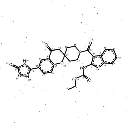 CCNC(=O)Nc1sc2ccccc2c1C(=O)N1CCC2(CC1)CC(=O)c1cc(-c3noc(=O)[nH]3)ccc1O2